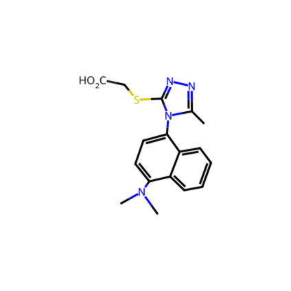 Cc1nnc(SCC(=O)O)n1-c1ccc(N(C)C)c2ccccc12